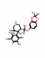 [2H]c1c([2H])c(C2([2H])[C@H](C([2H])([2H])Oc3ccc4c(c3)OC([2H])([2H])O4)CNCC2([2H])[2H])c([2H])c([2H])c1F